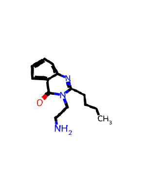 CCCCc1nc2ccccc2c(=O)n1CCN